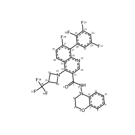 O=C(NN1CCOc2ccccc21)c1cnc2c(-c3cc(F)cc(F)c3F)c(F)ccc2c1N1CC(C(F)(F)F)C1